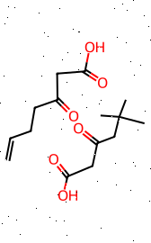 C=CCCC(=O)CC(=O)O.CC(C)(C)CC(=O)CC(=O)O